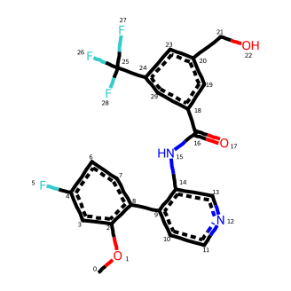 COc1cc(F)ccc1-c1ccncc1NC(=O)c1cc(CO)cc(C(F)(F)F)c1